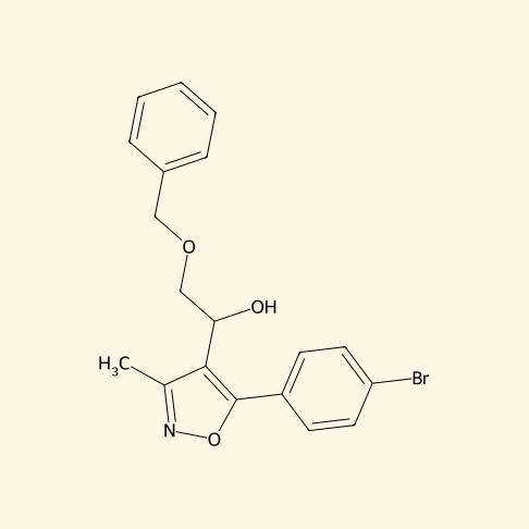 Cc1noc(-c2ccc(Br)cc2)c1C(O)COCc1ccccc1